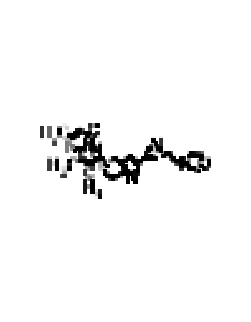 Cc1cc(=O)n2nc(N3CCc4ncc(-c5cnn(CCN6CCOCC6)c5)cc4C3)c(C)c(C)c2n1